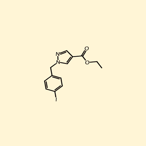 CCOC(=O)c1cnn(Cc2ccc(I)cc2)c1